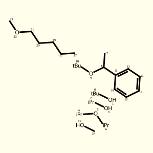 CC(C)(C)O.CC(C)O.CC(C)OC(C)C.CC(OC(C)(C)C)c1ccccc1.CCCCCOC.CO